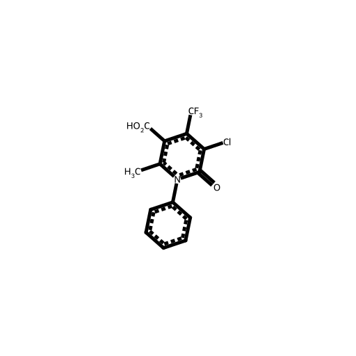 Cc1c(C(=O)O)c(C(F)(F)F)c(Cl)c(=O)n1-c1ccccc1